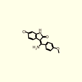 COc1ccc(C(N)=C2C(=O)Nc3cc(Cl)ccc32)cc1